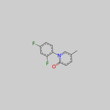 Cc1ccc(=O)n(-c2ccc(F)cc2F)c1